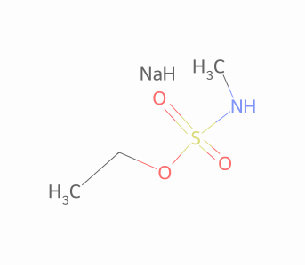 CCOS(=O)(=O)NC.[NaH]